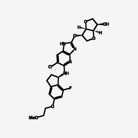 COCCOc1cc(F)c2c(c1)CC[C@H]2Nc1nc2nc(O[C@@H]3CO[C@H]4[C@@H]3OC[C@H]4O)[nH]c2cc1Cl